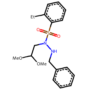 CCc1ccccc1S(=O)(=O)N(CC(OC)OC)NCc1ccccc1